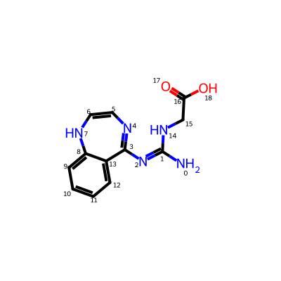 NC(=NC1=NC=CNc2ccccc21)NCC(=O)O